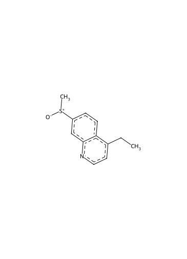 CCc1ccnc2cc([S+](C)[O-])ccc12